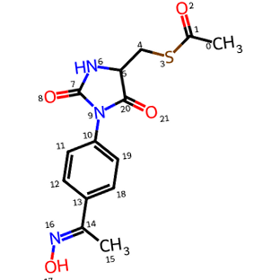 CC(=O)SCC1NC(=O)N(c2ccc(/C(C)=N/O)cc2)C1=O